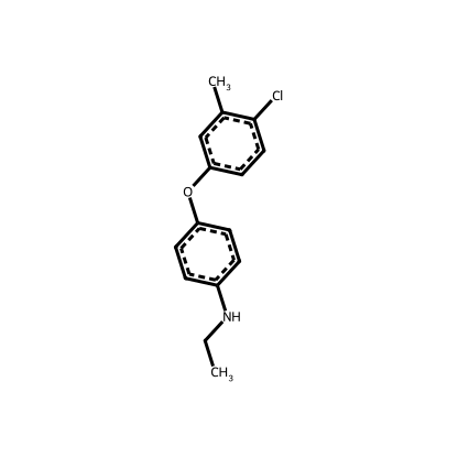 CCNc1ccc(Oc2ccc(Cl)c(C)c2)cc1